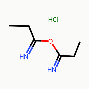 CCC(=N)OC(=N)CC.Cl